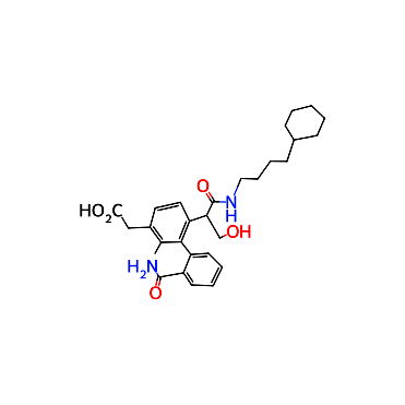 Cc1c(CC(=O)O)ccc(C(CO)C(=O)NCCCCC2CCCCC2)c1-c1ccccc1C(N)=O